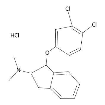 CN(C)C1Cc2ccccc2C1Oc1ccc(Cl)c(Cl)c1.Cl